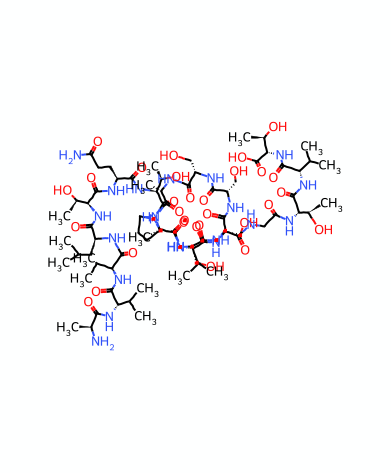 CC(C)C[C@H](NC(=O)[C@@H](NC(=O)[C@@H](NC(=O)[C@H](C)N)C(C)C)C(C)C)C(=O)N[C@H](C(=O)N[C@@H](CCC(N)=O)C(=O)N[C@H](C(=O)N1CCC[C@H]1C(=O)N[C@@H](CO)C(=O)N[C@@H](CO)C(=O)N[C@@H](CO)C(=O)N[C@@H](CO)C(=O)N[C@@H](C)C(=O)N[C@@H](C)C(=O)N[C@H](C(=O)NCC(=O)NCC(=O)N[C@H](C(=O)N[C@H](C(=O)N[C@H](C(=O)O)[C@@H](C)O)C(C)C)[C@@H](C)O)C(C)C)[C@@H](C)O)[C@@H](C)O